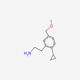 COCc1ccc(C2CC2)c(CCN)c1